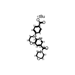 CC(C)(C)OC(=O)c1ccc(N2CCOc3cc(C(=O)N4CCOCC4)cnc32)cc1